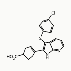 O=C(O)C1CC=C(c2[nH]c3ncccc3c2Sc2ccc(Cl)cc2)CC1